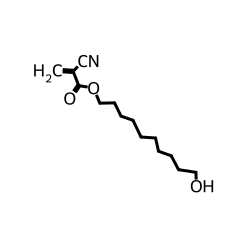 C=C(C#N)C(=O)OCCCCCCCCCCO